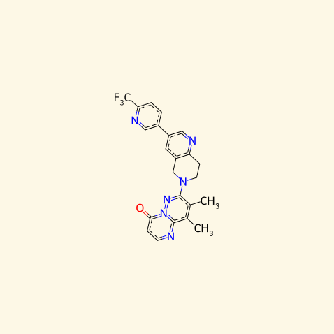 Cc1c(N2CCc3ncc(-c4ccc(C(F)(F)F)nc4)cc3C2)nn2c(=O)ccnc2c1C